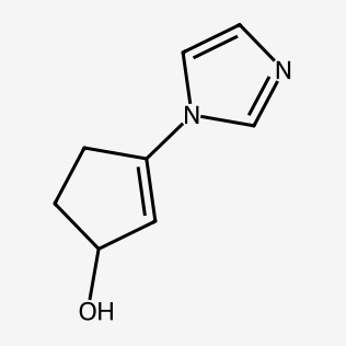 OC1C=C(n2ccnc2)CC1